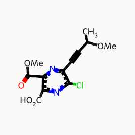 COC(=O)c1nc(C#CC(C)OC)c(Cl)nc1C(=O)O